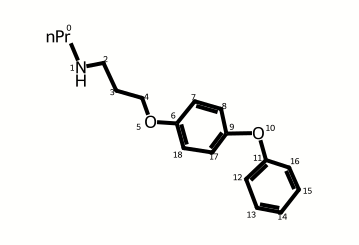 CCCNCCCOc1ccc(Oc2ccccc2)cc1